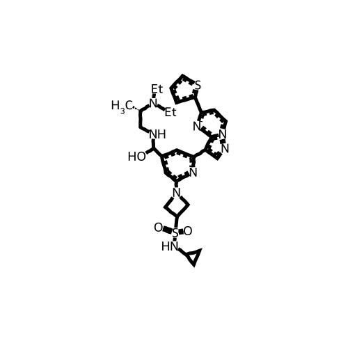 CCN(CC)[C@@H](C)CNC(O)c1cc(-c2cnn3ccc(-c4cccs4)nc23)nc(N2CC(S(=O)(=O)NC3CC3)C2)c1